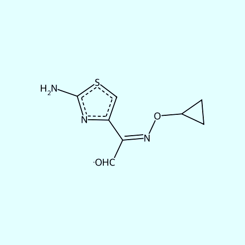 Nc1nc(/C([C]=O)=N\OC2CC2)cs1